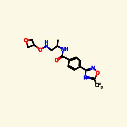 CC(CNOC1COC1)NC(=O)c1ccc(-c2noc(C(F)(F)F)n2)cc1